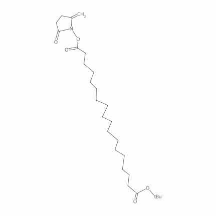 C=C1CCC(=O)N1OC(=O)CCCCCCCCCCCCCCCCC(=O)OC(C)(C)C